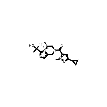 C[C@H]1CN(C(=O)c2cc(C3CC3)nn2C)Cc2cnc(C(C)(O)C(F)(F)F)n21